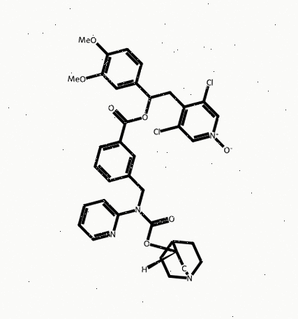 COc1ccc(C(Cc2c(Cl)c[n+]([O-])cc2Cl)OC(=O)c2cccc(CN(C(=O)O[C@H]3CN4CCC3CC4)c3ccccn3)c2)cc1OC